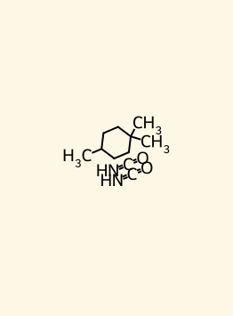 CC1CCC(C)(C)CC1.N=C=O.N=C=O